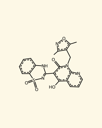 Cc1noc(C)c1Cn1c(=O)c(C2=NS(=O)(=O)c3ccccc3N2)c(O)c2cccnc21